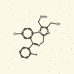 CNCc1c(CO)nc2n1-c1ccc(Cl)cc1C(c1ccccc1F)=NC2